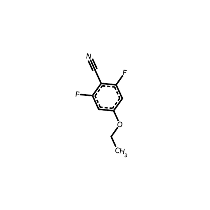 CCOc1cc(F)c(C#N)c(F)c1